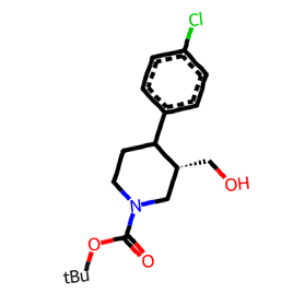 CC(C)(C)OC(=O)N1CCC(c2ccc(Cl)cc2)[C@H](CO)C1